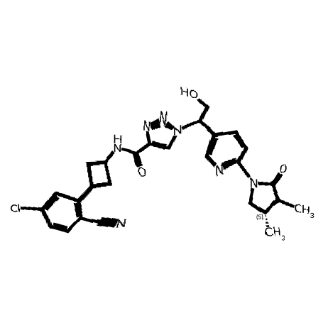 CC1C(=O)N(c2ccc(C(CO)n3cc(C(=O)NC4CC(c5cc(Cl)ccc5C#N)C4)nn3)cn2)C[C@H]1C